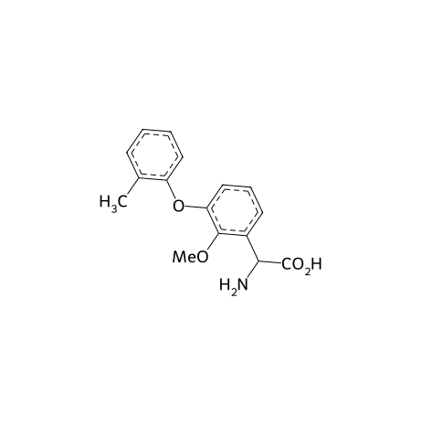 COc1c(Oc2ccccc2C)cccc1C(N)C(=O)O